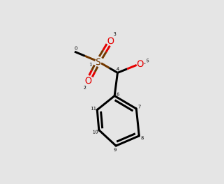 CS(=O)(=O)C([O])c1ccccc1